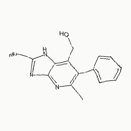 CCCCc1nc2nc(C)c(-c3ccccc3)c(CO)c2[nH]1